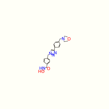 O=C(NO)c1ccc(Cn2cc(-c3ccc(CN4CCOCC4)cc3)nn2)cc1